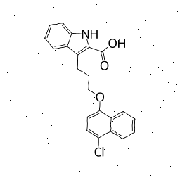 O=C(O)c1[nH]c2ccccc2c1CCCOc1ccc(Cl)c2ccccc12